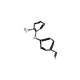 O=[N+]([O-])c1[c]cccc1Oc1ccc(C=S)cc1